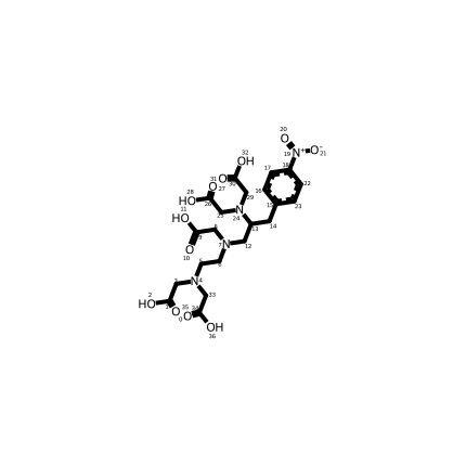 O=C(O)CN(CCN(CC(=O)O)CC(Cc1ccc([N+](=O)[O-])cc1)N(CC(=O)O)CC(=O)O)CC(=O)O